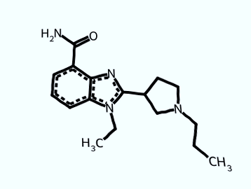 CCCN1CCC(c2nc3c(C(N)=O)cccc3n2CC)C1